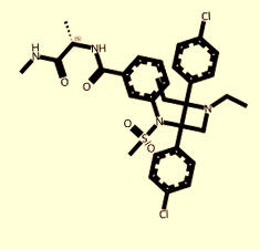 CCN1CC(c2ccc(Cl)cc2)(N(c2cccc(C(=O)N[C@@H](C)C(=O)NC)c2)S(C)(=O)=O)C1(CC)c1ccc(Cl)cc1